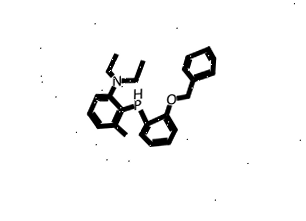 CCN(CC)c1cccc(C)c1Pc1ccccc1OCc1ccccc1